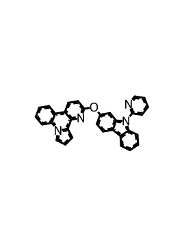 c1ccc(-n2c3ccccc3c3ccc(Oc4ccc5c6ccccc6n6cccc6c5n4)cc32)nc1